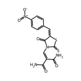 NC(=O)C(=CN1C(=O)/C(=C\c2ccc([N+](=O)[O-])cc2)SC1=S)C(N)=O